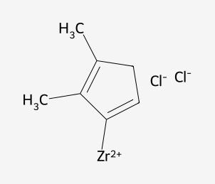 CC1=C(C)[C]([Zr+2])=CC1.[Cl-].[Cl-]